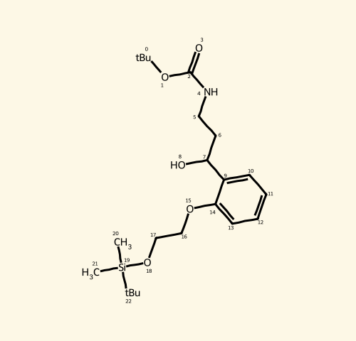 CC(C)(C)OC(=O)NCCC(O)c1ccccc1OCCO[Si](C)(C)C(C)(C)C